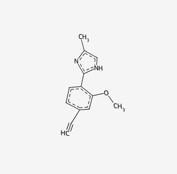 C#Cc1ccc(-c2nc(C)c[nH]2)c(OC)c1